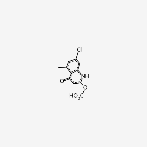 Cc1cc(Cl)cc2[nH]c(OC(=O)O)cc(=O)c12